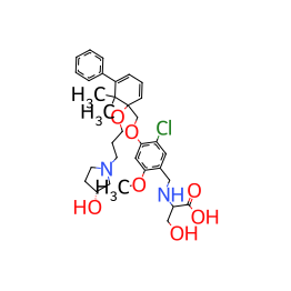 COc1cc(OCC2(OCCCN3CC[C@@H](O)C3)C=CC=C(c3ccccc3)C2(C)C)c(Cl)cc1CNC(CO)C(=O)O